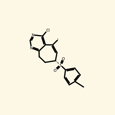 Cc1ccc(S(=O)(=O)[C@H]2C=C(I)c3c(Cl)ncnc3CC2)cc1